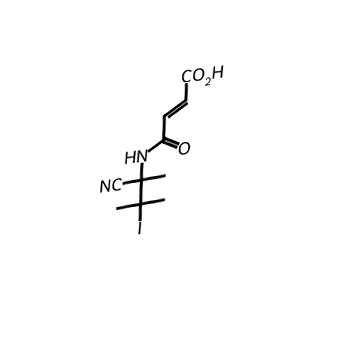 CC(C)(I)C(C)(C#N)NC(=O)C=CC(=O)O